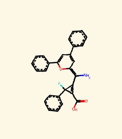 NC(=C1C=C(c2ccccc2)C=C(c2ccccc2)O1)C1=C(C(=O)O)C1(F)c1ccccc1